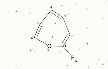 FC1=CC=CC=CO1